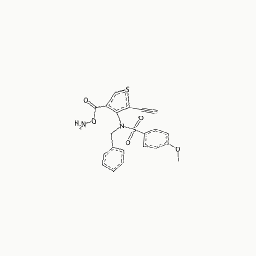 C#Cc1scc(C(=O)ON)c1N(Cc1ccccc1)S(=O)(=O)c1ccc(OC)cc1